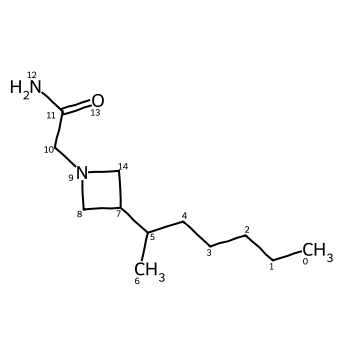 CCCCCC(C)C1CN(CC(N)=O)C1